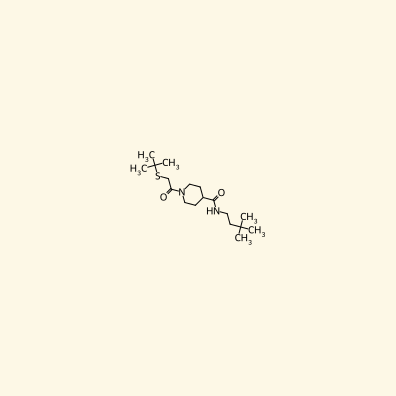 CC(C)(C)CCNC(=O)C1CCN(C(=O)CSC(C)(C)C)CC1